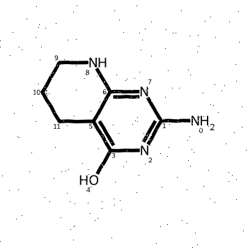 Nc1nc(O)c2c(n1)NC[C]C2